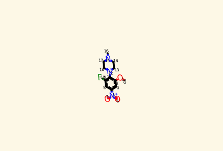 COc1cc([N+](=O)[O-])cc(F)c1N1CCN(C)CC1